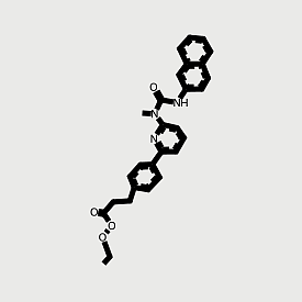 CCOOC(=O)CCc1ccc(-c2cccc(N(C)C(=O)Nc3ccc4ccccc4c3)n2)cc1